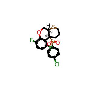 O=S(=O)(c1ccc(Cl)cc1)[C@]12CCCS[C@H]1COc1c(F)ccc(F)c12